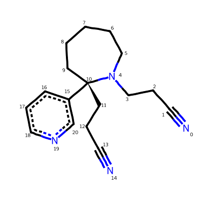 N#CCCN1CCCCC[C@@]1(CCC#N)c1cccnc1